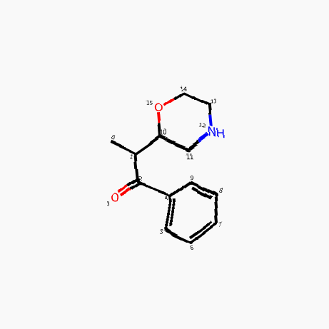 CC(C(=O)c1ccccc1)C1CNCCO1